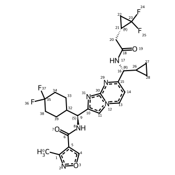 Cc1nocc1C(=O)N[C@H](c1cn2ccc([C@H](NC(=O)C[C@@H]3CC3(F)F)C3CC3)nc2n1)C1CCC(F)(F)CC1